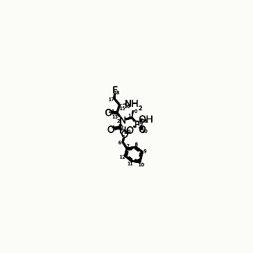 C[C@H](N(C(=O)OCc1ccccc1)C(=O)[C@@H](N)CF)P(=O)(O)O